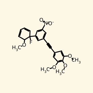 COc1cc(C#Cc2cc([N+](=O)[O-])cc(C3(F)C=CC=CC3OC)c2)cc(OC)c1OC